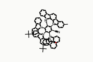 Cc1ccc2c(c1)c1ccc3c4ccccc4sc3c1n2-c1c(C#N)c(-n2c3ccccc3c3ccccc32)c(-n2c3ccc(C(C)(C)C)cc3c3cc(C(C)(C)C)c4c5ccccc5sc4c32)c(-n2c3ccccc3c3ccccc32)c1C#N